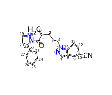 C=C(CCCn1ncc2cc(C#N)ccc21)C(=O)N1N=CCC1c1ccccc1